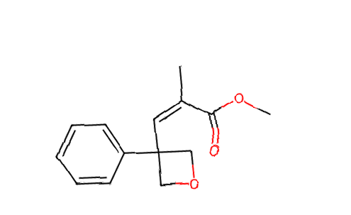 COC(=O)C(C)=CC1(c2ccccc2)COC1